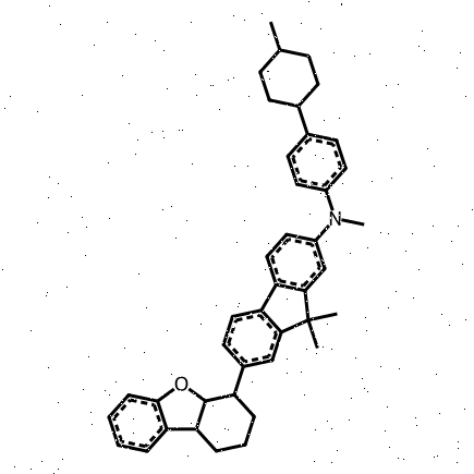 CC1CCC(c2ccc(N(C)c3ccc4c(c3)C(C)(C)c3cc(C5CCCC6c7ccccc7OC56)ccc3-4)cc2)CC1